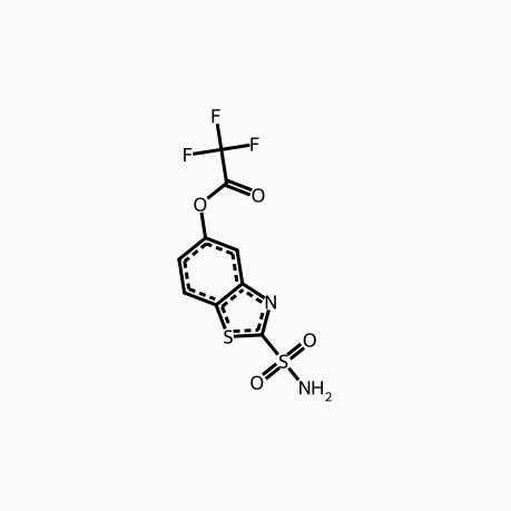 NS(=O)(=O)c1nc2cc(OC(=O)C(F)(F)F)ccc2s1